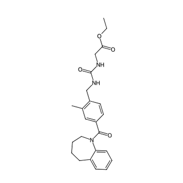 CCOC(=O)CNC(=O)NCc1ccc(C(=O)N2CCCCc3ccccc32)cc1C